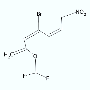 C=C(/C=C(Br)\C=C/C[N+](=O)[O-])OC(F)F